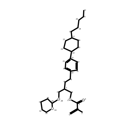 C=C(C)C(=O)OCC(CCc1ccc(C2CCC(CCCCC)CC2)cc1)COC1CCCCO1